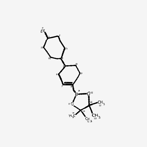 CCC1CCC(C2CC=C(B3OC(C)(C)C(C)(C)O3)CC2)CC1